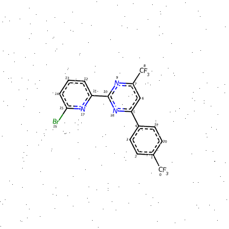 FC(F)(F)c1ccc(-c2cc(C(F)(F)F)nc(-c3cccc(Br)n3)n2)cc1